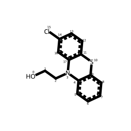 OCCN1c2ccccc2Sc2ccc(Cl)cc21